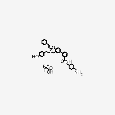 NCC1CCC(CNC(=O)c2cccc(-c3cccc(CN(CCc4ccc(O)cc4)C(=O)/C=C/c4ccccc4)c3)c2)CC1.O=C(O)C(F)(F)F